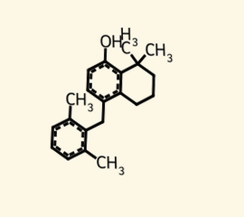 Cc1cccc(C)c1Cc1ccc(O)c2c1CCCC2(C)C